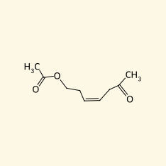 CC(=O)C/C=C\CCOC(C)=O